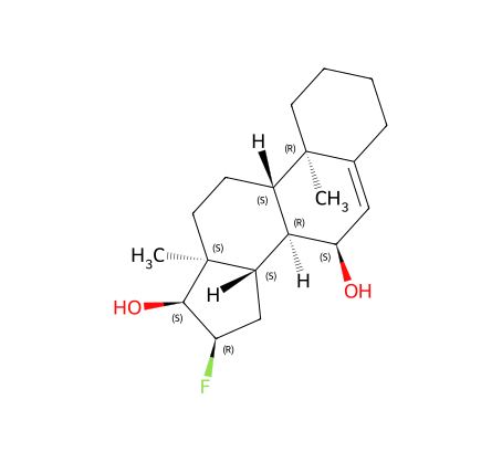 C[C@]12CC[C@H]3[C@@H]([C@H](O)C=C4CCCC[C@@]43C)[C@@H]1C[C@@H](F)[C@H]2O